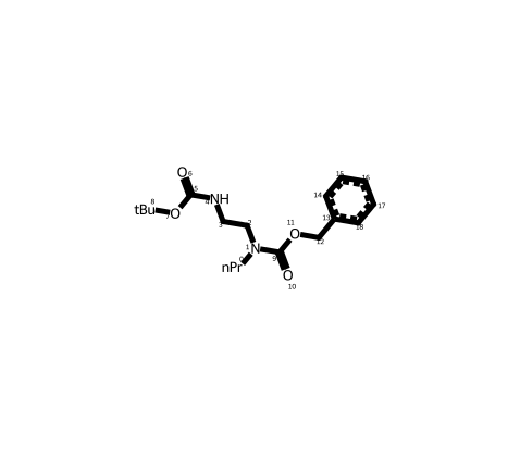 CCCN(CCNC(=O)OC(C)(C)C)C(=O)OCc1ccccc1